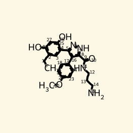 CCc1cc(-c2n[nH]c(C(=O)NCCCN)c2-c2ccc(OC)cc2)c(O)cc1O